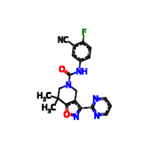 CC1(C)CN(C(=O)Nc2ccc(F)c(C#N)c2)Cc2c(-c3ncccn3)noc21